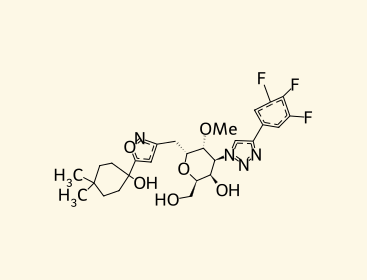 CO[C@@H]1[C@@H](n2cc(-c3cc(F)c(F)c(F)c3)nn2)[C@@H](O)[C@@H](CO)O[C@@H]1Cc1cc(C2(O)CCC(C)(C)CC2)on1